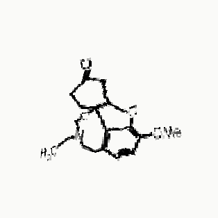 COc1ccc2c3c1OC1CC(=O)CCC31CCN(C)C2